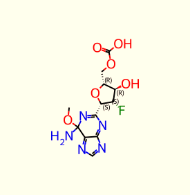 COC1(N)N=C([C@@H]2O[C@H](COC(=O)O)[C@@H](O)[C@@H]2F)N=C2N=CN=C21